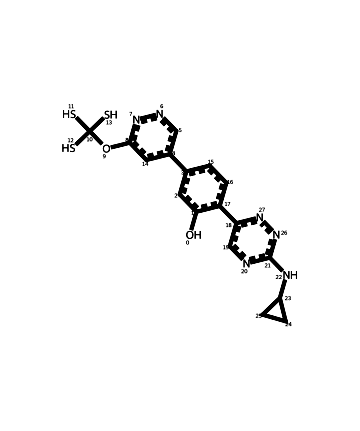 Oc1cc(-c2cnnc(OC(S)(S)S)c2)ccc1-c1cnc(NC2CC2)nn1